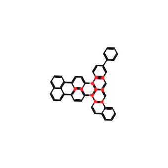 C1=CC(N(c2ccc(-c3ccccc3)cc2)c2ccc(-c3cccc4cccc(-c5ccc(N(c6ccccc6)c6ccc7ccccc7c6)cc5)c34)cc2)=CCC1